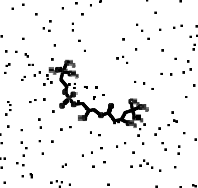 CC(CC(=O)OCC(O)COP(=O)([O-])OCC[N+](C)(C)C)CC(C)(C)C